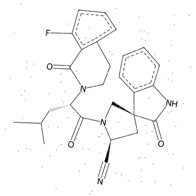 CC(C)C[C@@H](C(=O)N1C[C@]2(C[C@H]1C#N)C(=O)Nc1ccccc12)N1CCc2cccc(F)c2C1=O